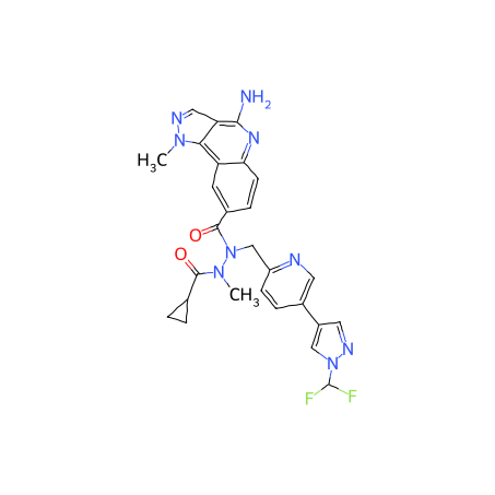 CN(C(=O)C1CC1)N(Cc1ccc(-c2cnn(C(F)F)c2)cn1)C(=O)c1ccc2nc(N)c3cnn(C)c3c2c1